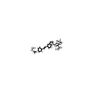 CC(CCn1ncc2cc(C#Cc3ccc([C@@H]4C[C@H]4CO)cc3)ccc21)(C(=O)NO)S(C)(=O)=O